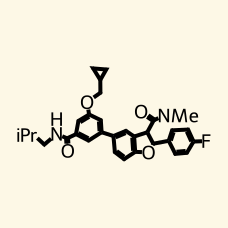 CNC(=O)C1c2cc(-c3cc(OCC4CC4)cc(C(=O)NCC(C)C)c3)ccc2OC1c1ccc(F)cc1